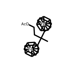 CC(=O)OCCC(C)([C]12[CH]3[CH]4[CH]5[CH]1[Fe]45321678[CH]2[CH]1[CH]6[CH]7[CH]28)[C]12[CH]3[CH]4[CH]5[CH]1[Fe]45321678[CH]2[CH]1[CH]6[CH]7[CH]28